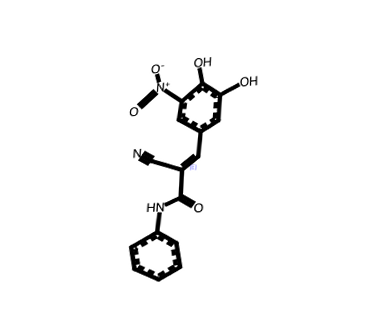 N#C/C(=C\c1cc(O)c(O)c([N+](=O)[O-])c1)C(=O)Nc1ccccc1